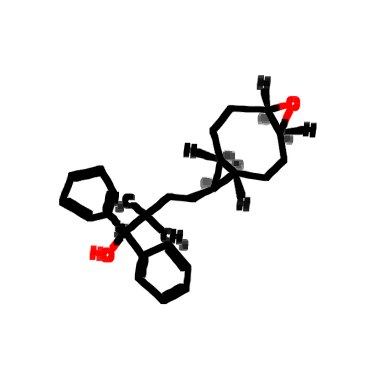 CC(C)(CC[C@H]1[C@@H]2CC[C@@H]3O[C@@H]3CC[C@@H]21)[Si](O)(c1ccccc1)c1ccccc1